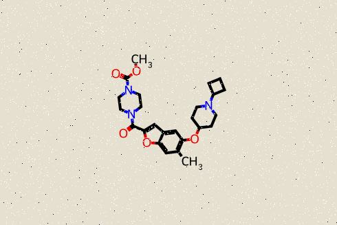 COC(=O)N1CCN(C(=O)c2cc3cc(OC4CCN(C5CCC5)CC4)c(C)cc3o2)CC1